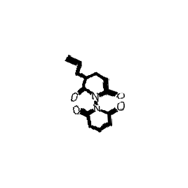 C=CCC1CCC(=O)N(N2C(=O)CCCC2=O)C1=O